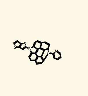 C1=CC2c3c4c(ccc5c4c4c(n(-c6cc7sccc7s6)c6ccc1c3c46)=CC5)N2c1ccccn1